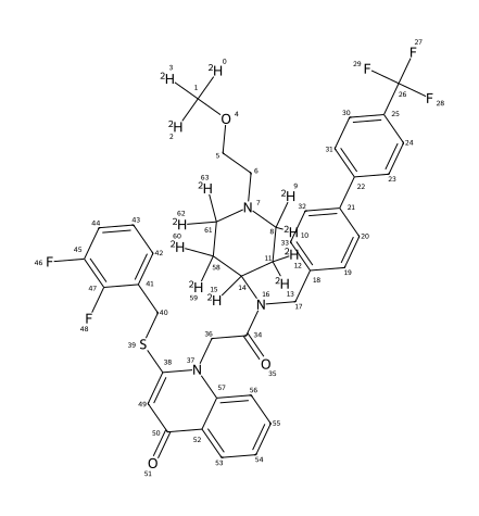 [2H]C([2H])([2H])OCCN1C([2H])([2H])C([2H])([2H])C([2H])(N(Cc2ccc(-c3ccc(C(F)(F)F)cc3)cc2)C(=O)Cn2c(SCc3cccc(F)c3F)cc(=O)c3ccccc32)C([2H])([2H])C1([2H])[2H]